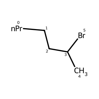 CCCCCC(C)Br